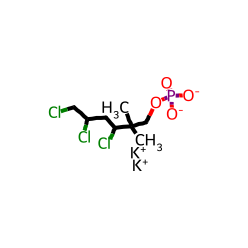 CC(C)(COP(=O)([O-])[O-])C(Cl)CC(Cl)CCl.[K+].[K+]